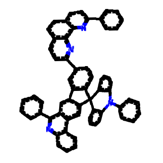 c1ccc(-c2ccc3ccc4ccc(-c5ccc6c(c5)-c5cc7c(-c8ccccc8)nc8ccccc8c7cc5C65c6ccccc6N(c6ccccc6)c6ccccc65)nc4c3n2)cc1